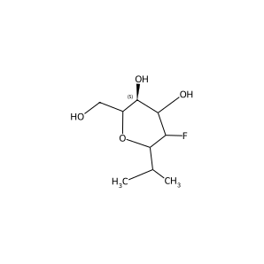 CC(C)C1OC(CO)[C@@H](O)C(O)C1F